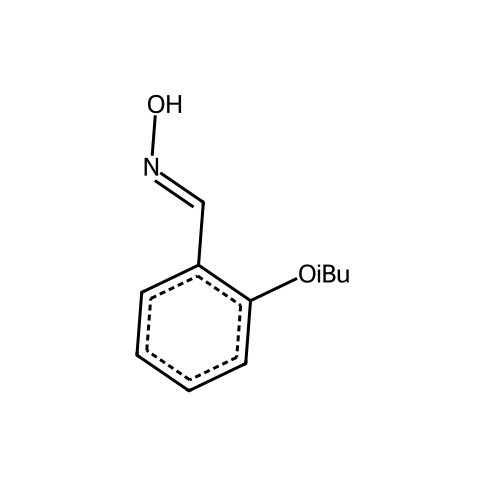 CC(C)COc1ccccc1C=NO